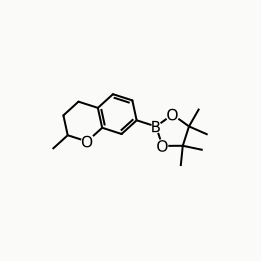 CC1CCc2ccc(B3OC(C)(C)C(C)(C)O3)cc2O1